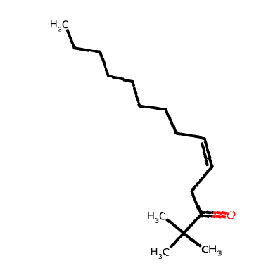 CCCCCCCC/C=C\CC(=O)C(C)(C)C